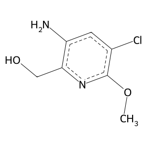 COc1nc(CO)c(N)cc1Cl